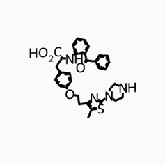 Cc1sc(N2CCNCC2)nc1CCOc1ccc(CC(Nc2ccccc2C(=O)c2ccccc2)C(=O)O)cc1